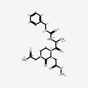 COC(=O)C[C@H]1C(=O)N(CC(=O)O)CCN1C(=O)C(C)NC(=O)OCc1ccccc1